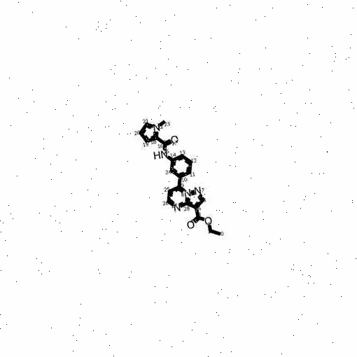 CCOC(=O)c1cnn2c(-c3cccc(NC(=O)c4cccn4C)c3)ccnc12